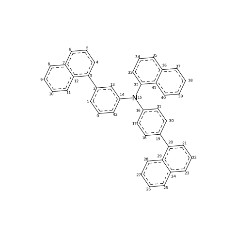 c1cc(-c2cccc3ccccc23)cc(N(c2ccc(-c3cccc4ccccc34)cc2)c2cccc3ccccc23)c1